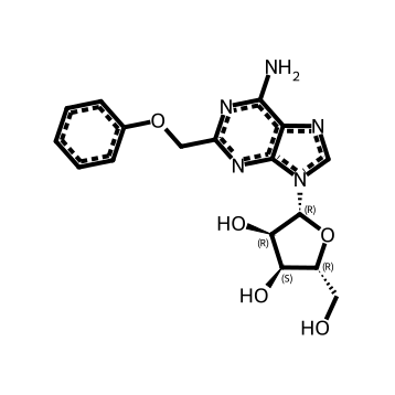 Nc1nc(COc2ccccc2)nc2c1ncn2[C@@H]1O[C@H](CO)[C@@H](O)[C@H]1O